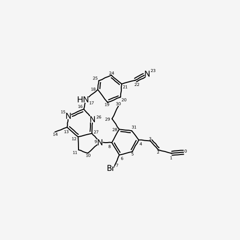 C#C/C=C/c1cc(Br)c(N2CCc3c(C)nc(Nc4ccc(C#N)cc4)nc32)c(CC)c1